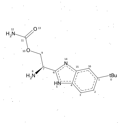 CC(C)(C)c1ccc2[nH]c([C@@H](N)COC(N)=O)nc2c1